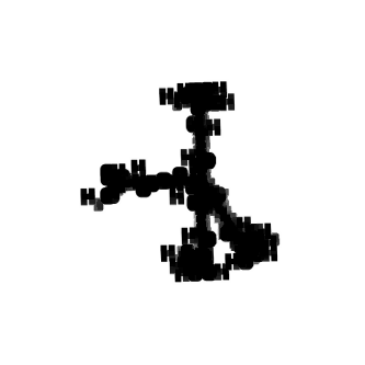 COC[C@H]1C[C@H](OC)CN1C(=O)CCCNC(=O)COCCOCCNC(=O)CCC(=O)NC(CCCOC(=O)NCCCCCCNC(=O)CCCOC1OC(CO)C(O)C(O)C1NC(C)=O)(CCCOC(=O)NCCCCCCNC(=O)CCCOC1OC(CO)C(O)C(O)C1NC(C)=O)CCCOC(=O)NCCCCCCNC(=O)CCCOC1OC(CO)C(O)C(O)C1NC(C)=O